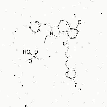 CCN1CC2c3c(OCCCCc4ccc(F)cc4)ccc(OC)c3CCC2C1Cc1ccccc1.CS(=O)(=O)O